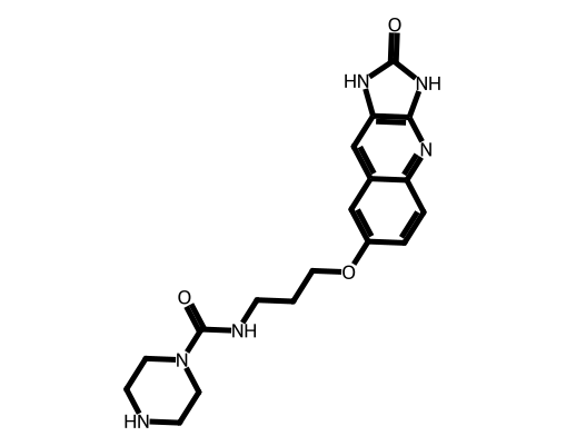 O=C(NCCCOc1ccc2nc3[nH]c(=O)[nH]c3cc2c1)N1CCNCC1